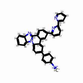 [C-]#[N+]c1ccc(-c2ccc3c(c2)c2cc(-c4cccc(-c5ccccn5)n4)ccc2c2nc4ccccc4n32)cc1